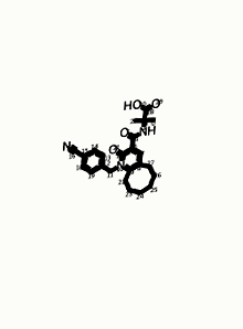 CC(C)(NC(=O)c1cc2c(n(Cc3ccc(C#N)cc3)c1=O)CCCCCC2)C(=O)O